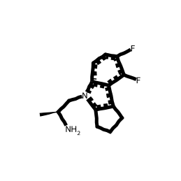 C[C@H](N)Cn1c2c(c3c(F)c(F)ccc31)CCC2